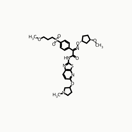 COCCCS(=O)(=O)c1ccc(/C(=N\O[C@@H]2CC[C@@H](OC)C2)C(=O)Nc2nc3ccc(OC4CCN(C)C4)nc3s2)cc1